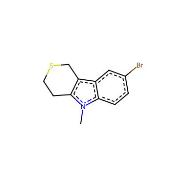 Cn1c2c(c3cc(Br)ccc31)CSCC2